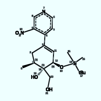 C[C@H]1CC(c2ccncc2[N+](=O)[O-])=C[C@@H](O[Si](C)(C)C(C)(C)C)[C@@]1(O)CO